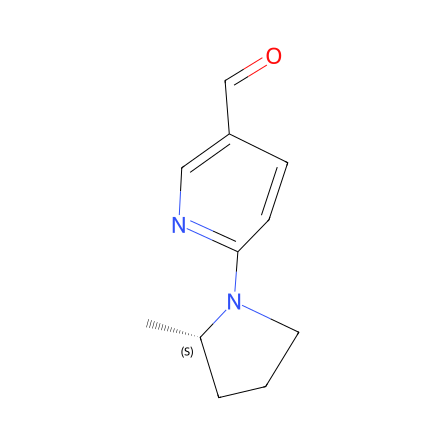 C[C@H]1CCCN1c1ccc(C=O)cn1